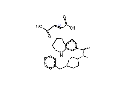 CC(C(=O)c1ccc2c(c1)NCCCC2)C1CCN(Cc2ccccc2)CC1.O=C(O)/C=C/C(=O)O